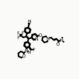 CN(C)C(=O)/C=C/CN1CCC[C@@H](Oc2ccc(/C(=C(/CC(F)(F)F)c3ccc(C#N)cc3)c3ccc4c(c3)c(F)nn4C3CCCCO3)cn2)C1